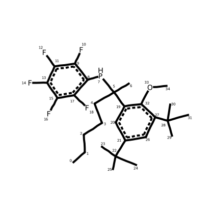 CCCCCC(C)(Pc1c(F)c(F)c(F)c(F)c1F)c1cc(C(C)(C)C)cc(C(C)(C)C)c1OC